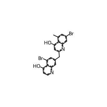 Cc1cc(Br)cc2nc(Cc3cc(Br)c4c(O)ccnc4c3)cc(O)c12